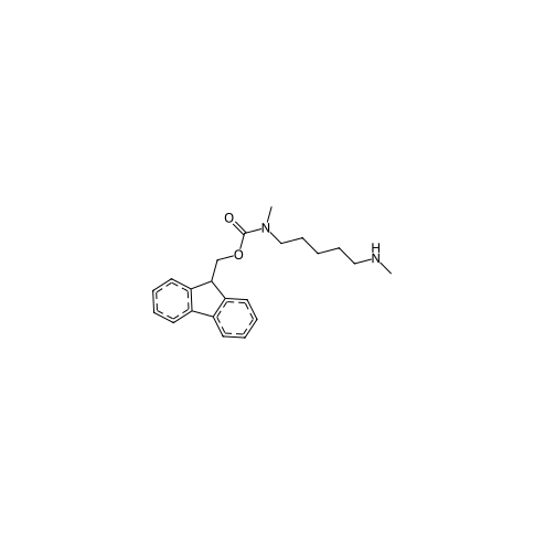 CNCCCCCN(C)C(=O)OCC1c2ccccc2-c2ccccc21